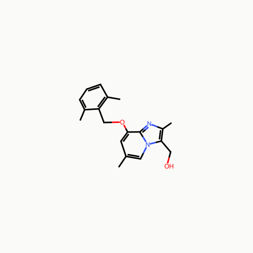 Cc1cc(OCc2c(C)cccc2C)c2nc(C)c(CO)n2c1